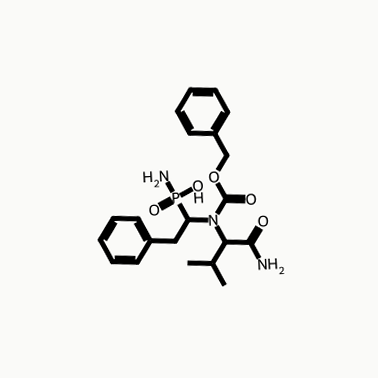 CC(C)C(C(N)=O)N(C(=O)OCc1ccccc1)C(Cc1ccccc1)P(N)(=O)O